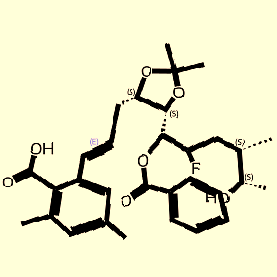 Cc1cc(C)c(C(=O)O)c(/C=C/C[C@@H]2OC(C)(C)O[C@@H]2C(OC(=O)c2ccccc2)C(F)C[C@H](C)[C@H](C)O)c1